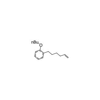 C=CCCCCc1ccccc1OCCCC